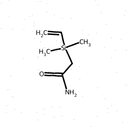 C=C[Si](C)(C)CC(N)=O